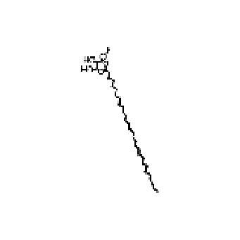 C=COC(OC(=O)CCCCCCCCCCCCCCCCCCCCCCCCCCCCC)C(O)CO